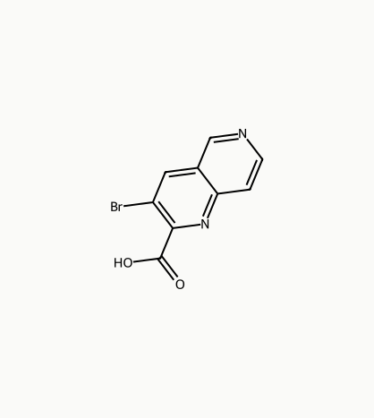 O=C(O)c1nc2ccncc2cc1Br